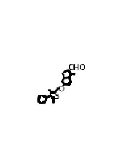 CC1=C(C=O)CCc2cc(OCc3sc(C)c(-c4ccccc4)c3C)ccc21